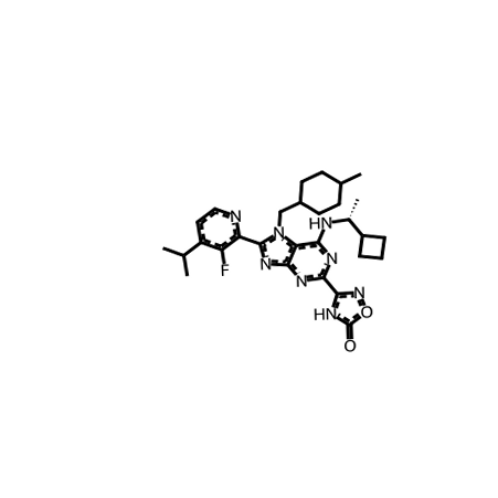 CC1CCC(Cn2c(-c3nccc(C(C)C)c3F)nc3nc(-c4noc(=O)[nH]4)nc(N[C@H](C)C4CCC4)c32)CC1